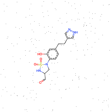 O=CC1CN(c2ccc(CCc3cn[nH]c3)cc2O)S(=O)(=O)N1